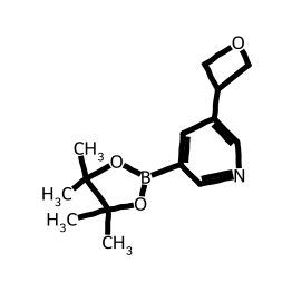 CC1(C)OB(c2cncc(C3COC3)c2)OC1(C)C